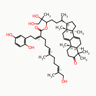 C/C(=C\CC/C(C)=C/CC/C(=C/Cc1cc(O)ccc1O)C(=O)OC(CCC(C)[C@H]1CC[C@@]2(C)C3=CC[C@H]4C(C)(C)C(=O)CC[C@]4(C)C3=CC[C@]12C)C(C)(O)CO)CO